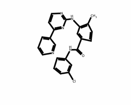 Cc1ccc(C(=O)Nc2cccc(Cl)c2)cc1Nc1nccc(-c2cccnc2)n1